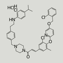 Cc1cc(C=CC(=O)N2CCN(Cc3ccc(CCNc4ccc(C(C)C)cc4)cc3)CC2)cc(Cl)c1Oc1ccc(OCc2ccccc2Cl)cn1.Cl.Cl